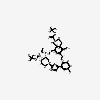 CCO[C@@H]1CN(c2nc(-c3cc(C)ccc3OCc3cc(OC)c4c(c3F)CCN(C(=O)OC(C)(C)C)C4)cs2)CC[C@@H]1C(=O)OC(C)(C)C